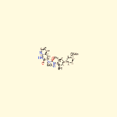 CCCCCCCCN(C(=O)Nc1c(C(C)C)cc(-c2cccc(OC)c2)cc1C(C)C)c1cc2cccnc2[nH]c1=O